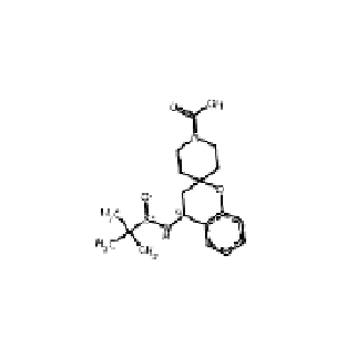 CC(C)(C)[S+]([O-])N[C@H]1CC2(CCN(C(=O)O)CC2)Oc2ccccc21